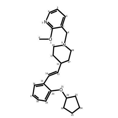 COc1ncccc1CN1CCC(C=Cc2ccccc2OC2CCCC2)CC1